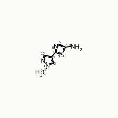 Cn1cc(-c2ncc(N)s2)cn1